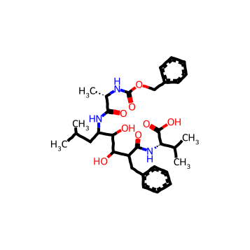 CC(C)CC(NC(=O)[C@H](C)NC(=O)OCc1ccccc1)C(O)C(O)C(Cc1ccccc1)C(=O)N[C@H](C(=O)O)C(C)C